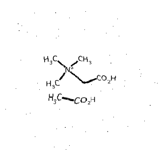 CC(=O)O.C[N+](C)(C)CC(=O)O